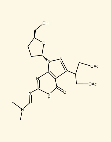 CC(=O)OCC(COC(C)=O)c1nn([C@H]2CC[C@@H](CO)O2)c2nc(/N=C/N(C)C)[nH]c(=O)c12